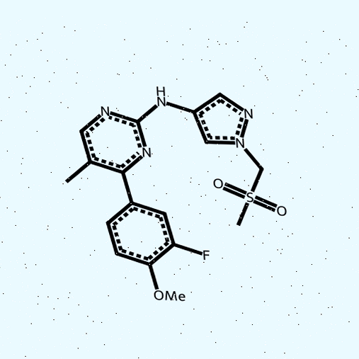 COc1ccc(-c2nc(Nc3cnn(CS(C)(=O)=O)c3)ncc2C)cc1F